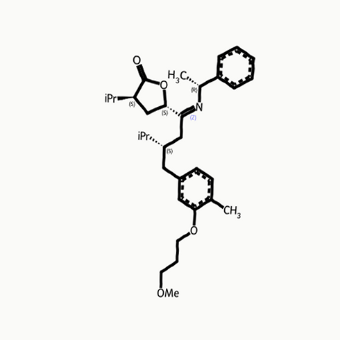 COCCCOc1cc(C[C@@H](C/C(=N/[C@H](C)c2ccccc2)[C@@H]2C[C@@H](C(C)C)C(=O)O2)C(C)C)ccc1C